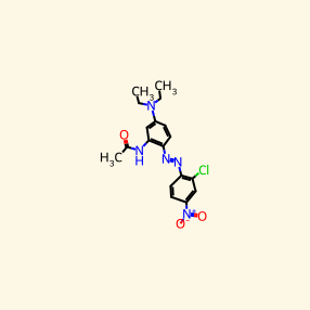 CCN(CC)c1ccc(N=Nc2ccc([N+](=O)[O-])cc2Cl)c(NC(C)=O)c1